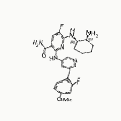 COc1ccc(-c2cncc(Nc3nc(N[C@@H]4CCCC[C@@H]4N)c(F)cc3C(N)=O)c2)c(F)c1